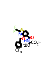 CC(C)(C)C(NC(=O)C1=C(OCc2ccc(C(F)(F)F)cc2)C2N=C(C(F)F)SC2C=C1)C(=O)O